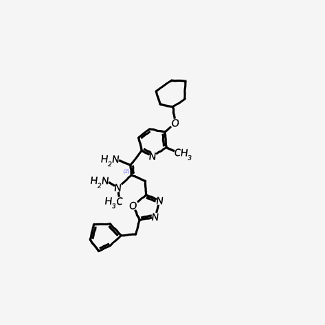 Cc1nc(/C(N)=C(\Cc2nnc(Cc3ccccc3)o2)N(C)N)ccc1OC1CCCCC1